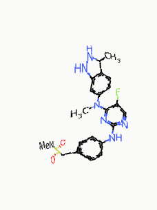 CNS(=O)(=O)Cc1ccc(Nc2ncc(F)c(N(C)c3ccc4c(c3)NNC4C)n2)cc1